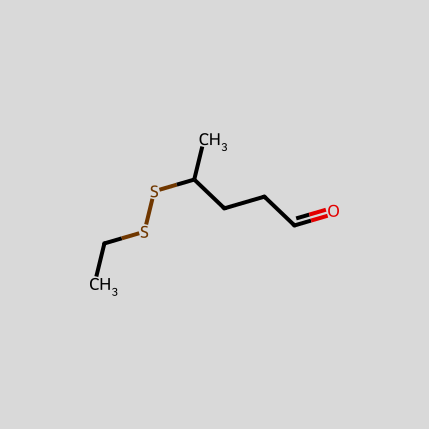 CCSSC(C)CCC=O